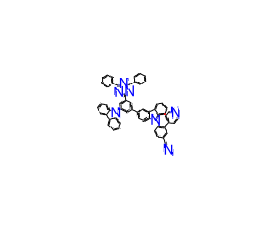 N#Cc1ccc(-n2c3ccccc3c3cc(-c4cc(-c5nc(-c6ccccc6)nc(-c6ccccc6)n5)cc(-n5c6ccccc6c6ccccc65)c4)ccc32)c(-c2ccncc2)c1